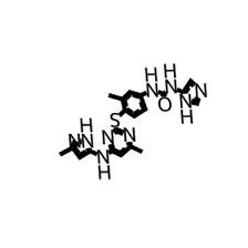 Cc1cc(Nc2cc(C)nc(Sc3ccc(NC(=O)Nc4cnc[nH]4)cc3C)n2)[nH]n1